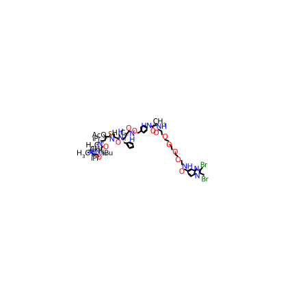 CC[C@H](C)[C@H](NC(=O)[C@H](C(C)C)N(C)C)C(=O)N(C)[C@H](C[C@@H](OC(C)=O)c1nc(C(=O)N[C@@H](Cc2ccccc2)C[C@H](C)C(=O)NOCc2ccc(NC(=O)[C@H](C)NC(=O)CCOCCOCCOCCOCCNC(=O)c3ccc4nc(CBr)c(CBr)nc4c3)cc2)cs1)C(C)C